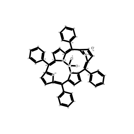 Cl[P+]1(Cl)n2c3ccc2C(c2ccccc2)=C2C=CC(=N2)C(c2ccccc2)=c2ccc(n21)=C(c1ccccc1)C1=NC(=C3c2ccccc2)C=C1.[Cl-]